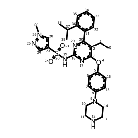 CCc1c(Oc2ccc(N3CCNCC3)cc2)nc(NS(=O)(=O)c2cnn(C)c2)nc1-c1ccccc1C(C)C